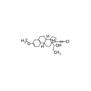 CCCC12CC[C@@H]3C4=C(CC[C@H]3[C@@H]1CC[C@@]2(O)C#CCl)CC(OC)=CC4